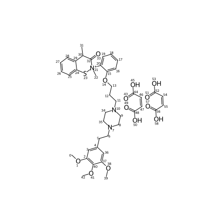 COc1cc(CCN2CCN(CCCOc3ccccc3[N+]3(C)Sc4ccccc4C(C)C3=O)CC2)cc(OC)c1OC.O=C(O)/C=C\C(=O)O.O=C(O)/C=C\C(=O)O